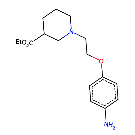 CCOC(=O)C1CCCN(CCOc2ccc(N)cc2)C1